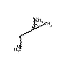 CCCCCCCCCC(CCCCCCCCCCC1CC1CCCCCC(=O)OC)OC(=O)CCCN(C)C